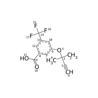 C#CC(C)(C)Oc1cc(C(=O)O)cc(C(F)(F)F)c1